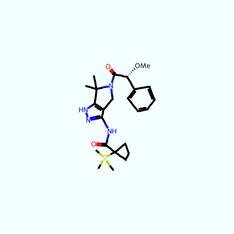 CO[C@@H](C(=O)N1Cc2c(NC(=O)C3(S(C)(C)C)CCC3)n[nH]c2C1(C)C)c1ccccc1